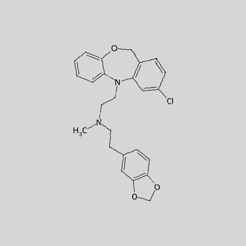 CN(CCc1ccc2c(c1)OCO2)CCN1c2cc(Cl)ccc2COc2ccccc21